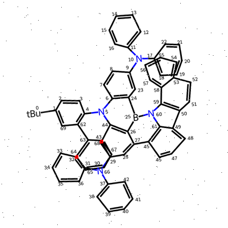 CC(C)(C)c1ccc(N2c3ccc(N(c4ccccc4)c4ccccc4)cc3B3c4c(cc(N(c5ccccc5)c5ccccc5)cc42)-c2cccc4c5ccc6ccccc6c5n3c24)c(-c2ccccc2)c1